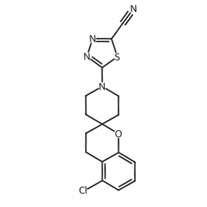 N#Cc1nnc(N2CCC3(CCc4c(Cl)cccc4O3)CC2)s1